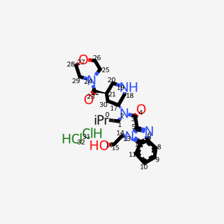 CC(C)CN(C(=O)c1nc2ccccc2n1CCO)[C@@H]1CNC[C@H](C(=O)N2CCOCC2)C1.Cl.Cl